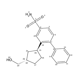 NS(=O)(=O)c1ccc(-c2ccccc2)c([C@H]2CC[C@H](CO)C2)c1